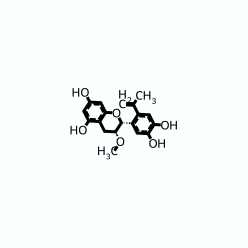 C=C(C)c1cc(O)c(O)cc1[C@H]1Oc2cc(O)cc(O)c2C[C@H]1OC